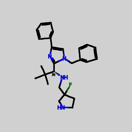 CC(C)(C)[C@@H](NCC1(F)CCNC1)c1nc(-c2ccccc2)cn1Cc1ccccc1